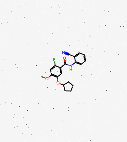 COc1cc(F)c(C(=O)Nc2ccccc2C#N)cc1OC1CCCC1